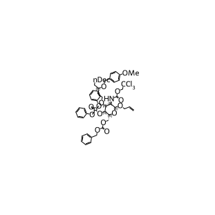 C=CCO[C@H]1O[C@H](COC(=O)OCc2ccccc2)[C@@H](OP(=O)(Oc2ccccc2)Oc2ccccc2)[C@H](OCC[C@@H](CCCCCCCCCCC)OCc2ccc(OC)cc2)[C@H]1NC(=O)OCC(Cl)(Cl)Cl